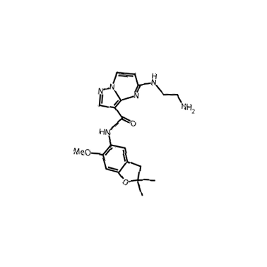 COc1cc2c(cc1NC(=O)c1cnn3ccc(NCCN)nc13)CC(C)(C)O2